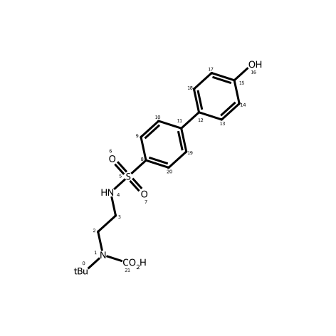 CC(C)(C)N(CCNS(=O)(=O)c1ccc(-c2ccc(O)cc2)cc1)C(=O)O